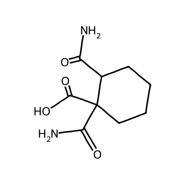 NC(=O)C1CCCCC1(C(N)=O)C(=O)O